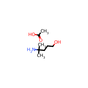 CC(=O)O.CC(C)(N)CCCO